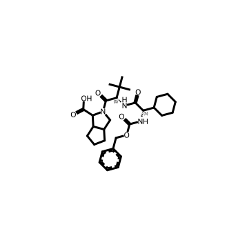 CC(C)(C)[C@H](NC(=O)[C@@H](NC(=O)OCc1ccccc1)C1CCCCC1)C(=O)N1CC2CCCC2C1C(=O)O